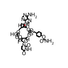 NC(=O)Oc1ccc(CSP2(=O)OC[C@H]3O[C@@H](n4ccc(=O)[nH]c4=O)[C@H](F)[C@@H]3OP(=O)(O)OC[C@H]3O[C@@H](n4cnc5c(N)ncnc54)[C@H](O2)[C@@H]3F)cc1